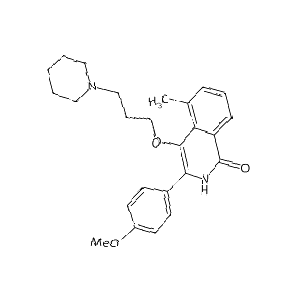 COc1ccc(-c2[nH]c(=O)c3cccc(C)c3c2OCCCN2CCCCC2)cc1